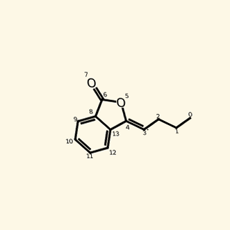 CCC/[C]=C1\OC(=O)c2ccccc21